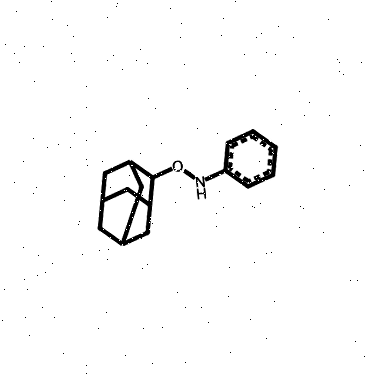 c1ccc(NOC2C3CC4CC(C3)CC2C4)cc1